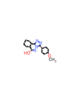 COc1ccc(-c2nnc3c4ccccc4c(O)nn23)cc1